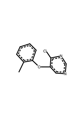 Cc1ccccc1Oc1cncnc1Cl